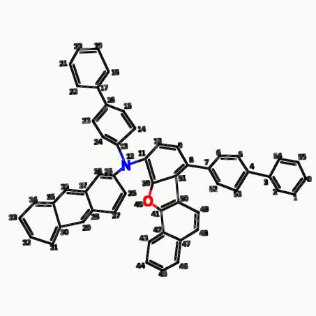 c1ccc(-c2ccc(-c3ccc(N(c4ccc(-c5ccccc5)cc4)c4ccc5cc6ccccc6cc5c4)c4oc5c6ccccc6ccc5c34)cc2)cc1